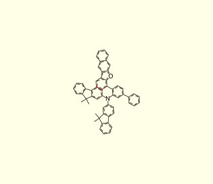 CC1(C)c2ccccc2-c2ccc(N(c3ccc4c(c3)C(C)(C)c3ccccc3-4)c3cc(-c4ccccc4)ccc3-c3cccc4c3oc3cc5ccccc5cc34)cc21